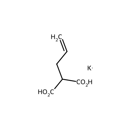 C=CCC(C(=O)O)C(=O)O.[K]